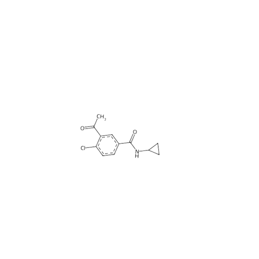 CC(=O)c1cc(C(=O)NC2CC2)ccc1Cl